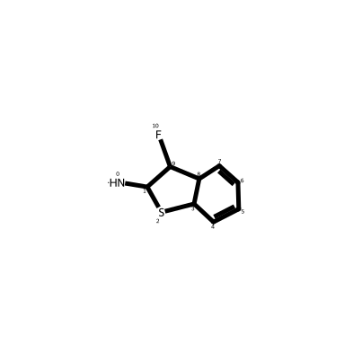 [NH]C1SC2C=CC=CC2C1F